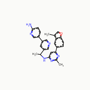 Cc1nc(NC(C)c2cncc(-c3ccc(N)nc3)c2)cc(-c2ccc3occ(C)c3c2)n1